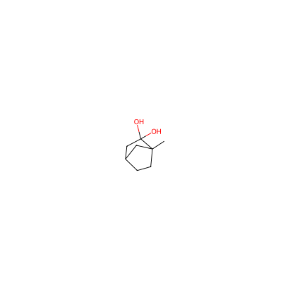 CC12CCC(CC1(O)O)C2